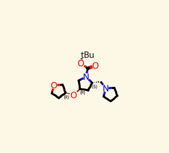 CC(C)(C)OC(=O)N1C[C@H](O[C@@H]2CCOC2)C[C@H]1CN1CCCC1